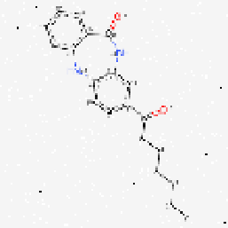 CCCCCCC(=O)c1ccc2c(c1)NC(=O)c1ccccc1N2